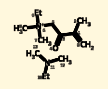 C=C(C)C(=O)C[N+](C)(C)CC.CCN(C)C